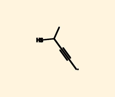 [CH2]C#CC(C)S